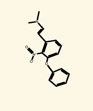 CN(C)C=Cc1cccc(Oc2ccccc2)c1[N+](=O)[O-]